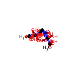 COc1ccc(/N=N/c2cc(OCCO)c(/N=N/c3c(S(=O)(=O)O)cc4c(-n5nc(C(=O)O)c(/N=N/c6cc(OCCO)c(/N=N/c7ccc(OC)cc7S(=O)(=O)O)cc6OCCO)c5O)cccc4c3O)cc2OCCO)c(S(=O)(=O)O)c1